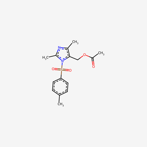 CC(=O)OCc1c(C)nc(C)n1S(=O)(=O)c1ccc(C)cc1